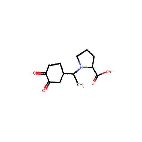 CC(C1CCC(=O)C(=O)C1)N1CCCC1C(=O)O